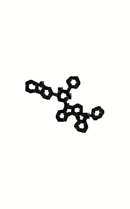 c1ccc(-c2nc(-c3ccc4c(c3)sc3ccccc34)cc(-n3c4ccccc4c4c5c6ccccc6n(-c6ccccc6)c5ccc43)n2)cc1